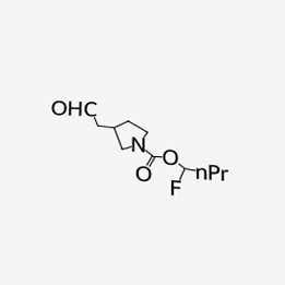 CCCC(F)OC(=O)N1CCC(CC=O)C1